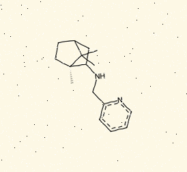 CC1(C)C2CC[C@]1(C)C(NCc1ccccn1)C2